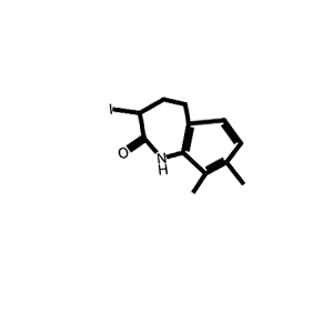 Cc1ccc2c(c1C)NC(=O)C(I)CC2